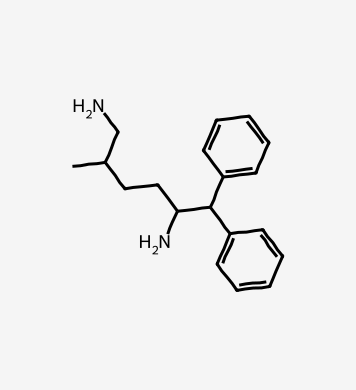 CC(CN)CCC(N)C(c1ccccc1)c1ccccc1